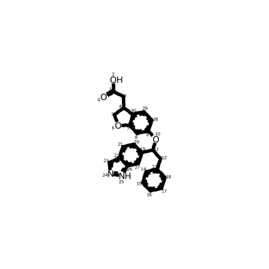 O=C(O)CC1COc2cc(OC(Cc3ccccc3)c3ccc4cn[nH]c4c3)ccc21